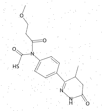 COCCC(=O)N(C(=O)S)c1ccc(C2=NNC(=O)CC2C)cc1